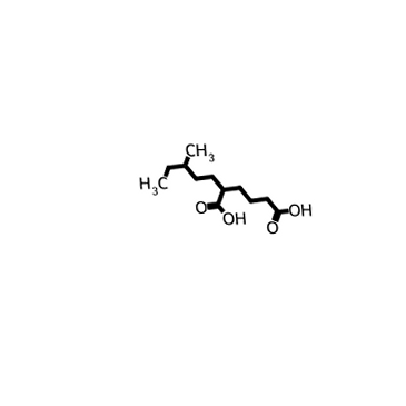 CCC(C)CCC(CCCC(=O)O)C(=O)O